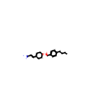 CCCCc1ccc(COC2CCC(C=CC#N)CC2)cc1